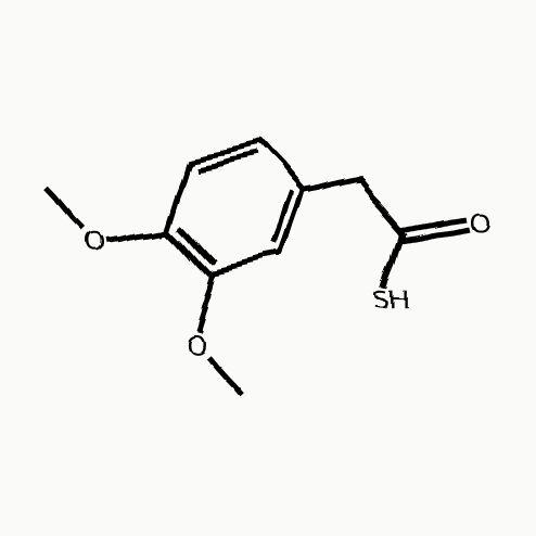 COc1ccc(CC(=O)S)cc1OC